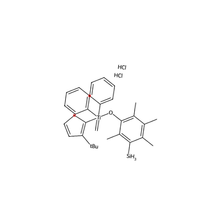 Cl.Cl.[CH2]=[Ti]([O]c1c(C)c(C)c(C)c([SiH3])c1C)([C]1=C(C(C)(C)C)C=CC1)([c]1ccccc1)[c]1ccccc1